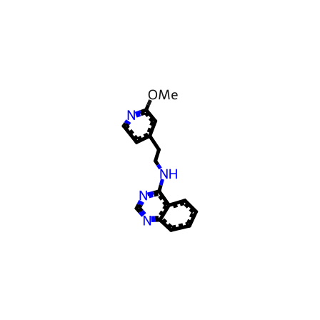 COc1cc(CCNc2ncnc3ccccc23)ccn1